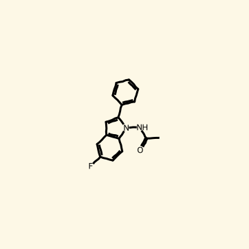 CC(=O)Nn1c(-c2ccccc2)cc2cc(F)ccc21